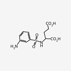 Nc1cccc(S(=O)(=O)NC(CCC(=O)O)C(=O)O)c1